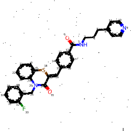 O=C(NCCCc1ccncc1)c1ccc(C=C2Sc3ccccc3N(Cc3ccccc3F)C2=O)cc1